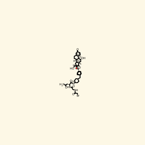 C[C@]12C=CC(=O)C=C1CC[C@@H]1[C@@H]2[C@@H](O)C[C@@]2(C)[C@H]1C[C@H]1O[C@@H](c3ccc(CC4CCC(NC(=O)[C@H](CC(N)=O)NC(=O)CNC(=O)CBr)CC4)cc3)O[C@]12C(=O)CO